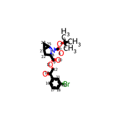 CC(C)(C)OC(=O)N1C(C(=O)OCC(=O)c2cccc(Br)c2)CC2CC21